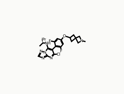 CC(C)[C@@H](C)Nc1c(-c2c(F)cc(OC3CC4(C3)CN(C)C4)cc2F)c(Cl)nc2ncnn12